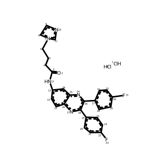 Cl.Cl.O=C(CCCn1ccnc1)Nc1ccc2nc(-c3ccc(F)cc3)c(-c3ccc(F)cc3)nc2c1